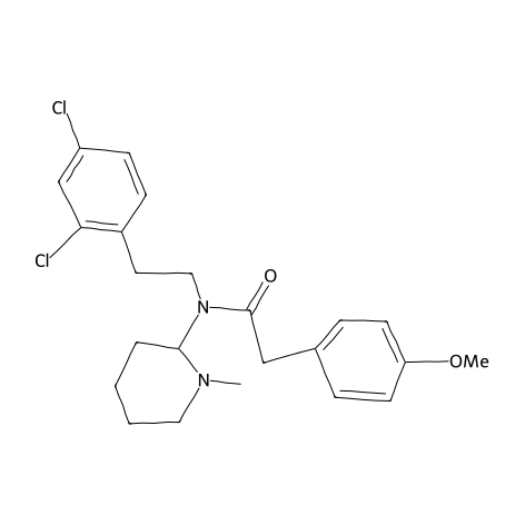 COc1ccc(CC(=O)N(CCc2ccc(Cl)cc2Cl)C2CCCCN2C)cc1